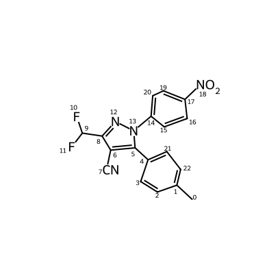 Cc1ccc(-c2c(C#N)c(C(F)F)nn2-c2ccc([N+](=O)[O-])cc2)cc1